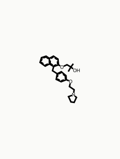 CC(C)(O)COc1ccc2ccccc2c1Cc1ccc(OCCN2CCCC2)cc1